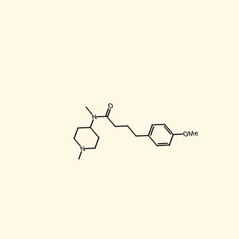 COc1ccc(CCCC(=O)N(C)C2CCN(C)CC2)cc1